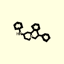 c1ccc(NC2CCN3CC(c4ccccc4)c4ccccc4C3C2)cc1